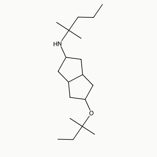 CCCC(C)(C)NC1CC2CC(OC(C)(C)CC)CC2C1